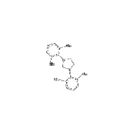 CC(C)(C)c1cccc(C(C)(C)C)c1N1CCN(c2c(C(C)(C)C)cccc2C(C)(C)C)C1